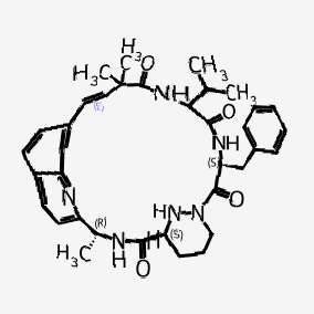 CC(C)C1NC(=O)C(C)(C)/C=C/c2ccc3ccc(nc3c2)[C@@H](C)NC(=O)[C@@H]2CCCN(N2)C(=O)[C@H](Cc2ccccc2)NC1=O